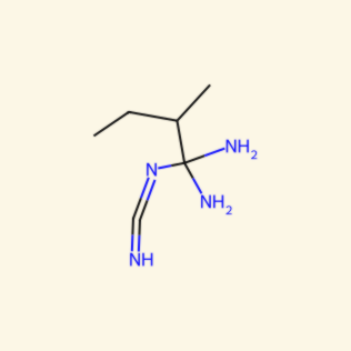 CCC(C)C(N)(N)N=C=N